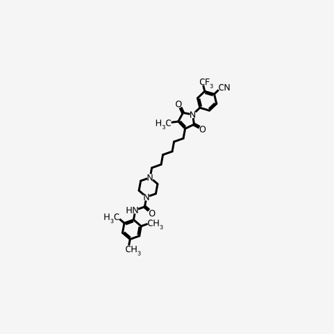 CC1=C(CCCCCCN2CCN(C(=O)Nc3c(C)cc(C)cc3C)CC2)C(=O)N(c2ccc(C#N)c(C(F)(F)F)c2)C1=O